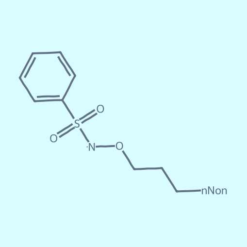 CCCCCCCCCCCCO[N]S(=O)(=O)c1ccccc1